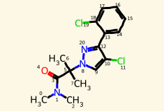 CN(C)C(=O)C(C)(C)n1cc(Cl)c(-c2ccccc2Cl)n1